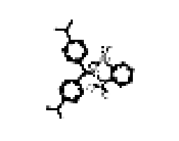 CC(C)c1ccc([I+](OS(=O)(=O)c2ccccc2[N+](=O)[O-])c2ccc(C(C)C)cc2)cc1